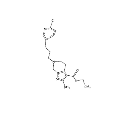 CCOC(=O)c1c(N)sc2c1CCN(CCCc1ccc(Cl)cc1)C2